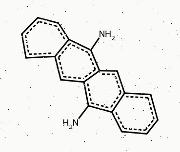 Nc1c2ccccc2cc2c(N)c3ccccc3cc12